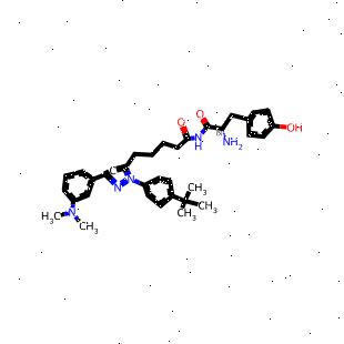 CN(C)c1cccc(-c2cc(CCCCC(=O)NC(=O)[C@@H](N)Cc3ccc(O)cc3)n(-c3ccc(C(C)(C)C)cc3)n2)c1